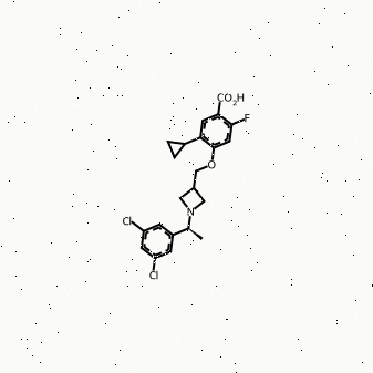 C[C@@H](c1cc(Cl)cc(Cl)c1)N1CC(COc2cc(F)c(C(=O)O)cc2C2CC2)C1